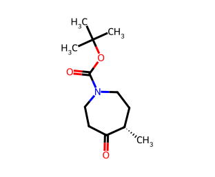 C[C@H]1CCN(C(=O)OC(C)(C)C)CCC1=O